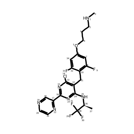 CNCCCOc1cc(F)c(Cc2c(Cl)nc(-c3cnccn3)nc2N[C@@H](C)C(F)(F)F)c(F)c1